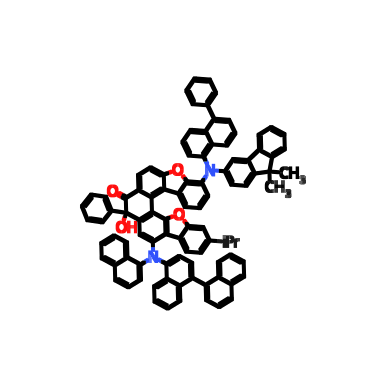 CC(C)c1ccc2c(c1)oc1c3c(cc(N(c4cccc5ccccc45)c4ccc(-c5cccc6ccccc56)c5ccccc45)c12)C(O)(c1ccccc1)C(=O)c1ccc2oc4c(N(c5ccc6c(c5)-c5ccccc5C6(C)C)c5cccc6c(-c7ccccc7)cccc56)cccc4c2c1-3